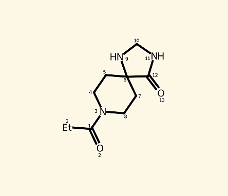 CCC(=O)N1CCC2(CC1)NCNC2=O